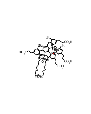 CCCCCCCCCCCCCCCCCCC(CCCCCCCCCCCCCCCCCC)(c1c(-c2c(C(C)(C)C)cc(CCC(=O)O)cc2C(C)(C)C)c(C(C)(C)C)c(Oc2c(C(C)(C)C)cc(CCC(=O)O)cc2C(C)(C)C)c(C(C)(C)Cc2c(C(C)(C)C)cc(CCC(=O)O)cc2C(C)(C)C)c1-c1c(C(C)(C)C)cc(CCC(=O)O)cc1C(C)(C)C)P(=O)(O)O